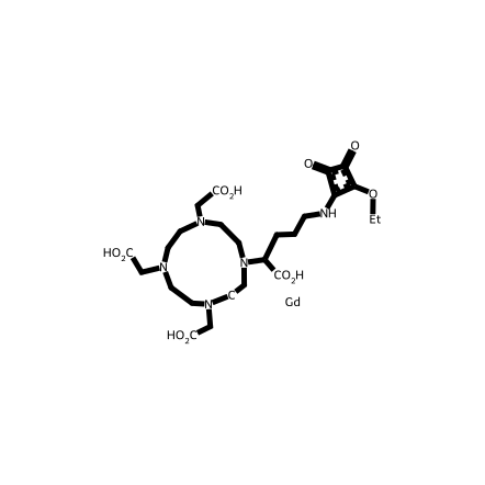 CCOc1c(NCCCC(C(=O)O)N2CCN(CC(=O)O)CCN(CC(=O)O)CCN(CC(=O)O)CC2)c(=O)c1=O.[Gd]